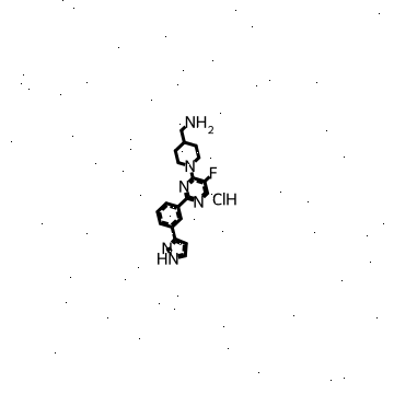 Cl.NCC1CCN(c2nc(-c3cccc(-c4cc[nH]n4)c3)ncc2F)CC1